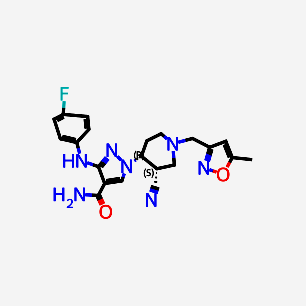 Cc1cc(CN2CC[C@@H](n3cc(C(N)=O)c(Nc4ccc(F)cc4)n3)[C@@H](C#N)C2)no1